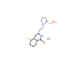 COC[C@H]1CCCN1CCc1cc2c(F)cccc2c(=O)[nH]1.Cl